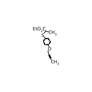 CC#CCOc1ccc(SC(C)C(=O)OCC)cc1